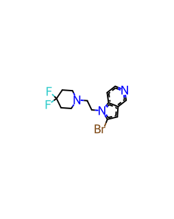 FC1(F)CCN(CCn2c(Br)cc3cnccc32)CC1